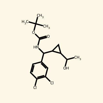 CC(O)C1CC1C(NC(=O)OC(C)(C)C)c1ccc(Cl)c(Cl)c1